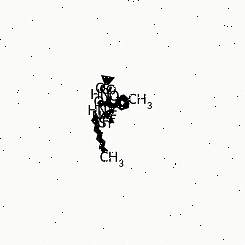 CCCCCCCc1cnc(C2(C(F)(F)F)CC(c3ccc(C)cc3)=C(C(=O)NS(=O)(=O)C3CC3)C(=O)N2)s1